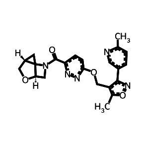 Cc1ccc(-c2noc(C)c2COc2ccc(C(=O)N3C[C@H]4OC[C@@H]5CC543)nn2)cn1